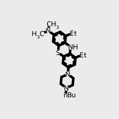 CCCCN1CCN(c2cc(CC)c3c(c2)Sc2cc(N(C)C)cc(CC)c2N3)CC1